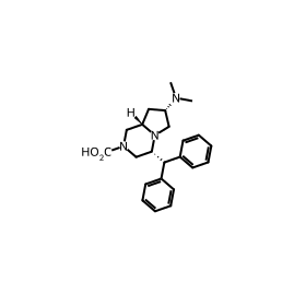 CN(C)[C@H]1C[C@H]2CN(C(=O)O)C[C@@H](C(c3ccccc3)c3ccccc3)N2C1